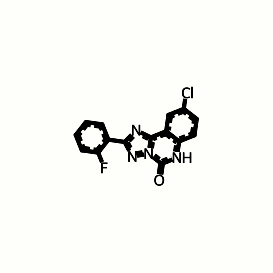 O=c1[nH]c2ccc(Cl)cc2c2nc(-c3ccccc3F)nn12